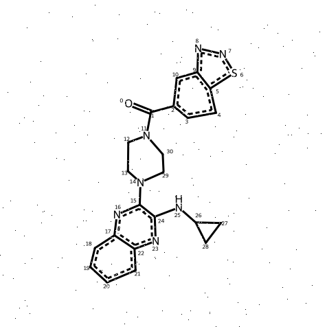 O=C(c1ccc2snnc2c1)N1CCN(c2nc3ccccc3nc2NC2CC2)CC1